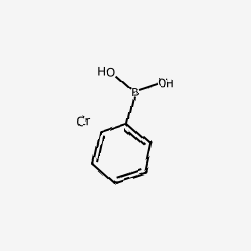 OB(O)c1ccccc1.[Cr]